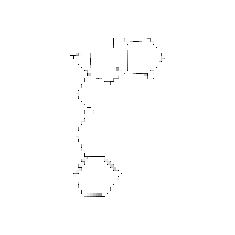 c1ccc(COCC2(C[C@H]3NCCO3)CC2)cc1